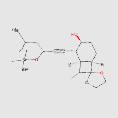 CCCCC(C)C[C@H](C#C[C@H]1[C@@H]2C(C)C3(OCCO3)[C@@H]2CC[C@@H]1O)O[Si](C)(C)C(C)(C)C